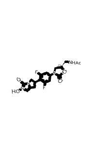 CC(=O)NC[C@H]1CN(c2cc(F)c(C3=Cc4cn(O)c(=O)n4C3)c(F)c2)C(=O)O1